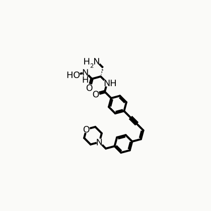 NC[C@H](NC(=O)c1ccc(C#C/C=C\c2ccc(CN3CCOCC3)cc2)cc1)C(=O)NO